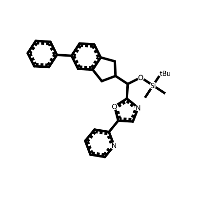 CC(C)(C)[Si](C)(C)OC(c1ncc(-c2ccccn2)o1)C1Cc2ccc(-c3ccccc3)cc2C1